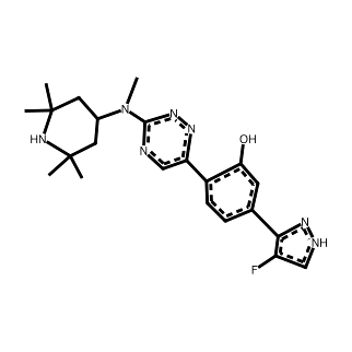 CN(c1ncc(-c2ccc(-c3n[nH]cc3F)cc2O)nn1)C1CC(C)(C)NC(C)(C)C1